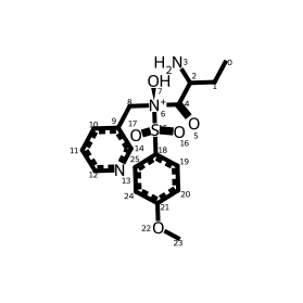 CCC(N)C(=O)[N@@+](O)(Cc1cccnc1)S(=O)(=O)c1ccc(OC)cc1